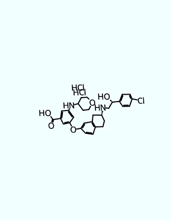 Cl.Cl.O=C(O)c1cc(NC2CCOCC2)cc(Oc2ccc3c(c2)C[C@@H](NC[C@@H](O)c2ccc(Cl)cc2)CC3)c1